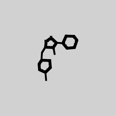 Cc1ccc(Cc2nnc(-c3ccccc3)n2C)cc1